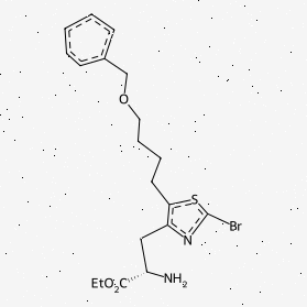 CCOC(=O)[C@@H](N)Cc1nc(Br)sc1CCCCOCc1ccccc1